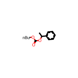 CCCCOC(=O)OC(C)c1ccccc1